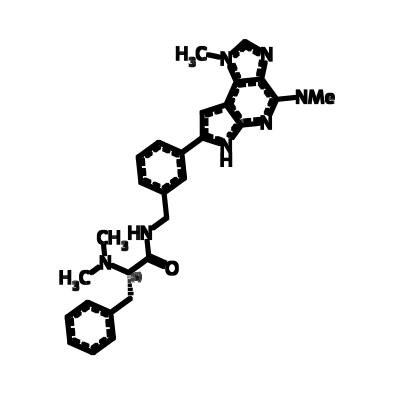 CNc1nc2[nH]c(-c3cccc(CNC(=O)[C@H](Cc4ccccc4)N(C)C)c3)cc2c2c1ncn2C